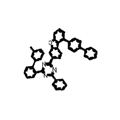 Cc1cccc(-c2ccccc2-c2nc(-c3ccccc3)nc(-c3ccc4c(c3)oc3cccc(-c5ccc(-c6ccccc6)cc5)c34)n2)c1